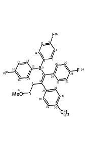 COCC/C(=C(\B(c1ccc(F)cc1)c1ccc(F)cc1)c1ccc(F)cc1)c1ccc(C)cc1